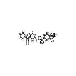 O=C(OCc1cccc(Nc2ccccc2)c1)c1ccc2[nH]ccc2c1